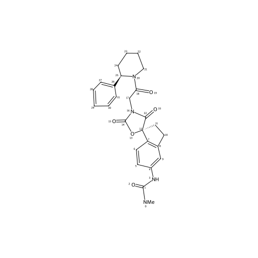 CNC(=O)Nc1ccc2c(c1)CC[C@@]21OC(=O)N(CC(=O)N2CCCC[C@@H]2c2ccccc2)C1=O